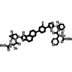 COC(=O)N[C@H](C(=O)N1[C@@H]2C[C@@H]2C[C@H]1c1nc2ccc3cc(-c4ccc(-c5cnc([C@@H]6[C@H]7CC[C@H](C7)N6C(=O)[C@@H](NC(=O)OC)C6CCOCC6)[nH]5)c(F)c4)ccc3c2[nH]1)C(C)C